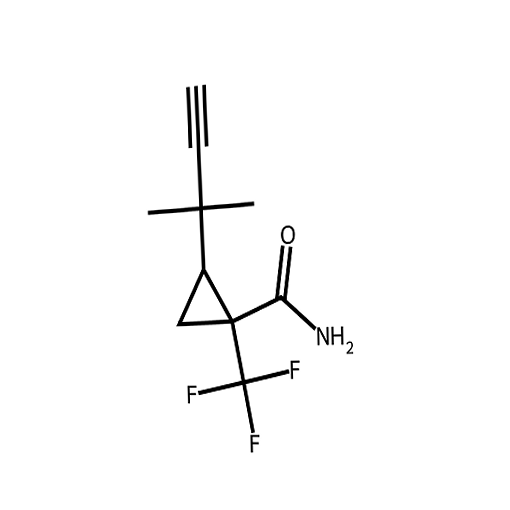 C#CC(C)(C)C1CC1(C(N)=O)C(F)(F)F